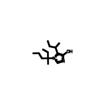 CCCC(C)(CC)n1cnc(O)c1C(C)CC